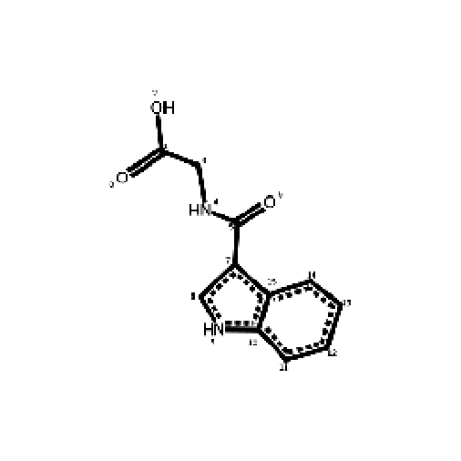 O=C(O)CNC(=O)c1c[nH]c2ccccc12